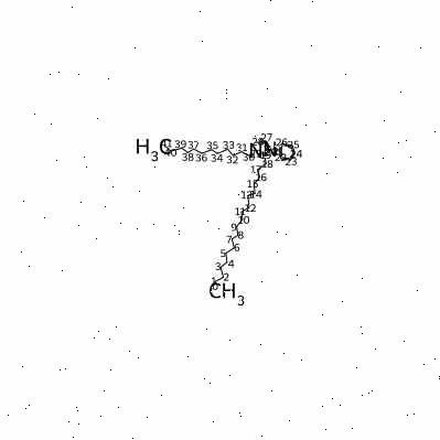 CCCCCCCCCCCCCCCCCCCc1n(-c2ccccc2)cc[n+]1CCCCCCCCCCCC